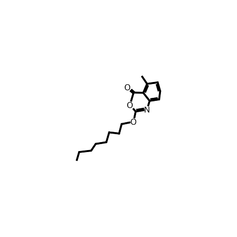 CCCCCCCCOc1nc2cccc(C)c2c(=O)o1